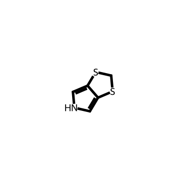 c1[nH]cc2c1SCS2